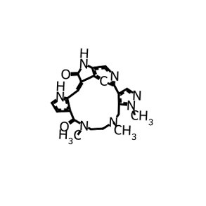 CN1CCN(C)C(=O)c2cc[nH]c2/C=C2\C(=O)Nc3cnc(cc32)-c2cnn(C)c2C1